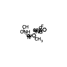 C#CC(=O)NCc1cnn(-c2cc(C)cc(C(=O)NNS(=O)(=O)c3ccccc3F)c2)c1